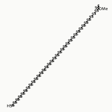 COS(=S)(=S)SSSSSSSSSSSSSSSSSSSSSSSSSSSSSSSSSSSSSSSSSSSSSSSSSSSSSSSSSSSSSSSSSS